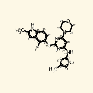 Cc1cc2c(F)c(Oc3nc(Nc4ncc(C)s4)cc(N4CCOCC4)n3)ccc2[nH]1